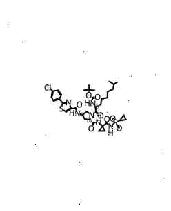 CC(C)CCCCC[C@H](NC(=O)OC(C)(C)C)C(=O)N1C[C@H](NC(=O)c2csc(-c3ccc(Cl)cc3)n2)C[C@H]1C(=O)NC1(C(=O)NS(=O)(=O)C2CC2)CC1